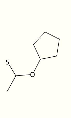 CC([S])OC1CCCC1